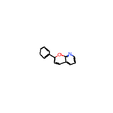 C1=CC(C2C=Cc3cccnc3O2)=CCC1